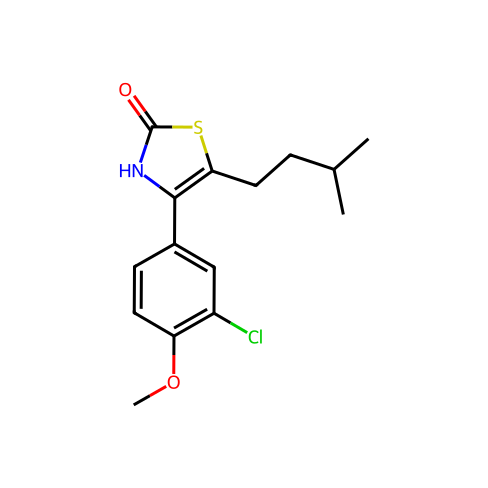 COc1ccc(-c2[nH]c(=O)sc2CCC(C)C)cc1Cl